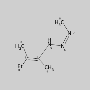 CC/C(C)=C(\C)N/N=N\C